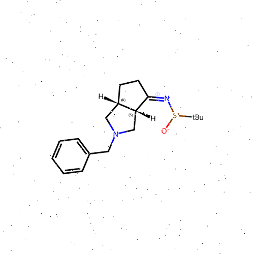 CC(C)(C)[S+]([O-])/N=C1/CC[C@H]2CN(Cc3ccccc3)C[C@@H]12